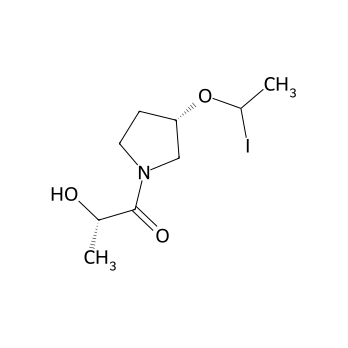 CC(I)O[C@H]1CCN(C(=O)[C@H](C)O)C1